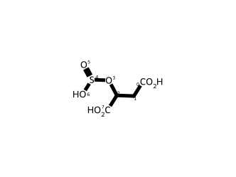 O=C(O)CC(OS(=O)O)C(=O)O